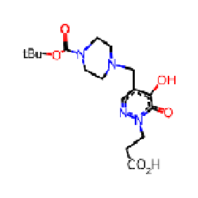 CC(C)(C)OC(=O)N1CCN(Cc2cnn(CCC(=O)O)c(=O)c2O)CC1